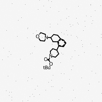 CC(C)(C)OC(=O)N1CCC(c2cccc3c2CC(N2CCOCC2)CC3)CC1